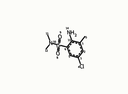 Cc1cc(Cl)cc(S(=O)(=O)N(C)C)c1N